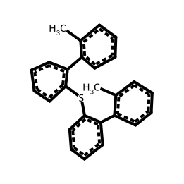 Cc1ccccc1-c1ccccc1Sc1ccccc1-c1ccccc1C